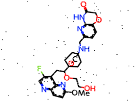 COc1ccc2ncc(F)c(CC(OCCO)C34CCC(NCc5ccc6c(n5)NC(=O)CO6)(CC3)CO4)c2n1